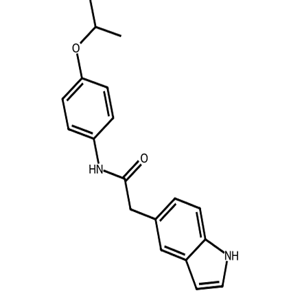 CC(C)Oc1ccc(NC(=O)Cc2ccc3[nH]ccc3c2)cc1